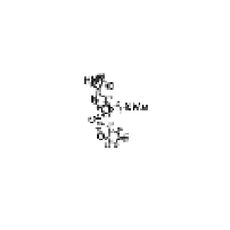 CNCCn1cc(C(=O)C2COc3ccc(F)cc3C2)c2cnc(-c3c[nH]nc3Cl)cc21